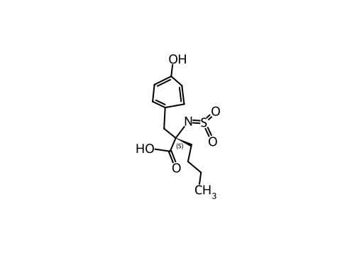 CCCC[C@@](Cc1ccc(O)cc1)(N=S(=O)=O)C(=O)O